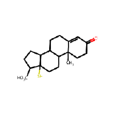 CC12CCC(=O)C=C1CCC1C2CCC2(S)C(C(=O)O)CCC12